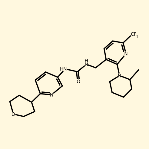 CC1CCCCN1c1nc(C(F)(F)F)ccc1CNC(=O)Nc1ccc(C2CCOCC2)nc1